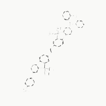 CCC1(CC)c2cc(/C=C/c3ccc4c(c3)C(CC)(CC)c3cc(N5c6ccccc6Oc6ccccc65)ccc3-4)ccc2-c2ccc(-c3ccc([Si](C)(C)C)cc3)cc21